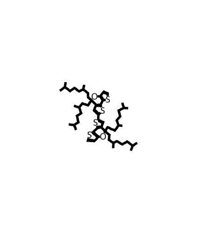 CC(C)CCCC(C)CCC1(CCC(C)CCCC(C)C)Oc2ccsc2-c2sc(-c3cc4c(s3)-c3sccc3OC4(CCC(C)CCCC(C)C)CCC(C)CCCC(C)C)cc21